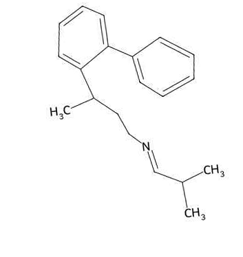 CC(C)C=NCCC(C)c1ccccc1-c1ccccc1